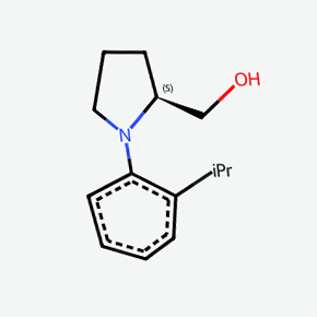 CC(C)c1ccccc1N1CCC[C@H]1CO